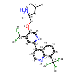 CC(C)C[C@](C)(N)COc1cnc(-c2ccnc3c(C(F)(F)F)cccc23)cc1C(F)F